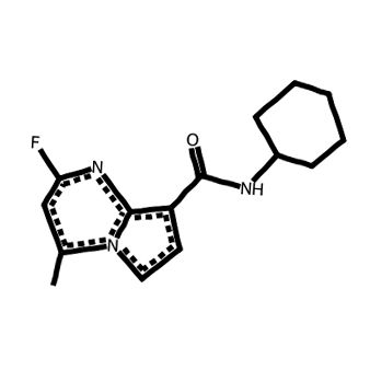 Cc1cc(F)nc2c(C(=O)NC3CCCCC3)ccn12